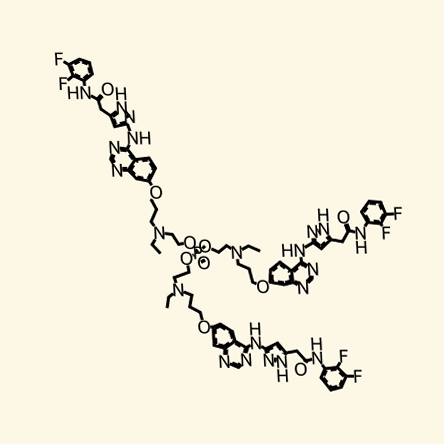 CCN(CCCOc1ccc2c(Nc3cc(CC(=O)Nc4cccc(F)c4F)[nH]n3)ncnc2c1)CCOP(=O)(OCCN(CC)CCCOc1ccc2c(Nc3cc(CC(=O)Nc4cccc(F)c4F)[nH]n3)ncnc2c1)OCCN(CC)CCCOc1ccc2c(Nc3cc(CC(=O)Nc4cccc(F)c4F)[nH]n3)ncnc2c1